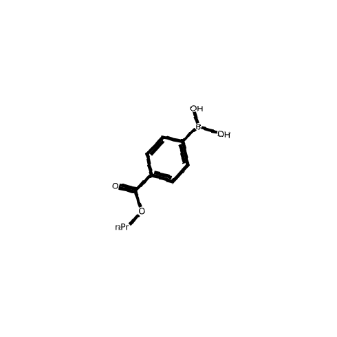 CCCOC(=O)c1ccc(B(O)O)cc1